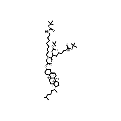 CC(C)CCCC(C)[C@H]1CC[C@H]2[C@@H]3CC=C4C[C@@H](OC(=O)CN(CCCCCCCCNC(=O)OC(C)(C)C)C(=O)C(CCCCNC(=O)OC(C)(C)C)NC(=O)OC(C)(C)C)CC[C@]4(C)[C@H]3CC[C@]12C